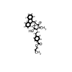 C=CCOC(=O)c1ccc(CC[C@H](C(=O)O)N(C)C(=O)OCC2c3ccccc3-c3ccccc32)cc1